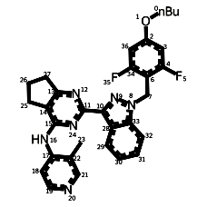 CCCCOc1cc(F)c(Cn2nc(-c3nc4c(c(Nc5ccncc5C)n3)CCC4)c3ccccc32)c(F)c1